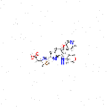 COC(=O)C[C@@H]1CSC(c2cc3cc(Oc4cccnc4)cc(NC4CCOCC4)c3[nH]2)=N1